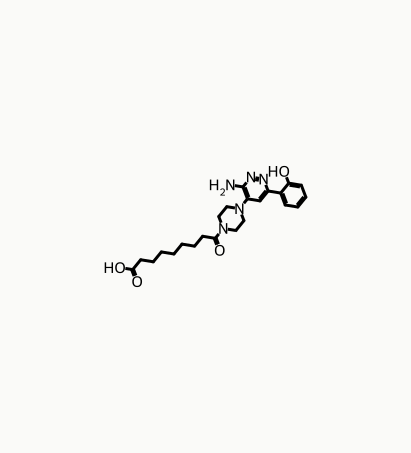 Nc1nnc(-c2ccccc2O)cc1N1CCN(C(=O)CCCCCCCC(=O)O)CC1